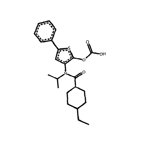 CCC1CCC(C(=O)N(c2cc(-c3ccccc3)sc2OC(=O)O)C(C)C)CC1